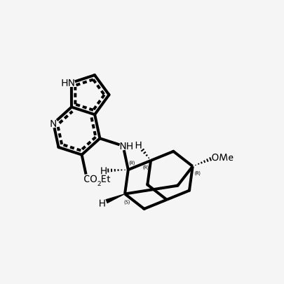 CCOC(=O)c1cnc2[nH]ccc2c1N[C@H]1[C@@H]2CC3C[C@H]1C[C@](OC)(C3)C2